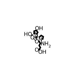 N[C@@H](CCC(=O)O)C(=O)N1CCC[C@H]1C(=O)N1C[C@H](O)C[C@H]1C(=O)O